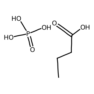 CCCC(=O)O.O=P(O)(O)O